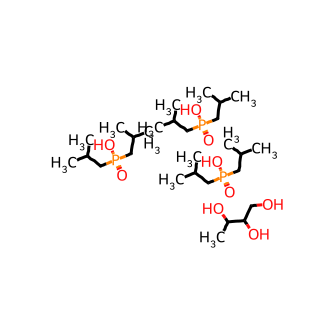 CC(C)CP(=O)(O)CC(C)C.CC(C)CP(=O)(O)CC(C)C.CC(C)CP(=O)(O)CC(C)C.CC(O)C(O)CO